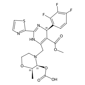 COC(=O)C1=C(CN2CCO[C@H](C)[C@@H]2OC(=O)O)NC(c2nccs2)=N[C@H]1c1ccc(F)c(F)c1F